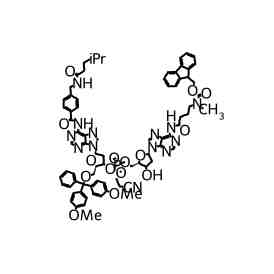 COc1ccc(C(OC[C@H]2O[C@@H](n3cnc4c(NC(=O)c5ccc(CNC(=O)CCC(C)C)cc5)ncnc43)CC2OP(=O)(OCCC#N)OC[C@H]2OC(n3cnc4c(NC(=O)CCCN(C)C(=O)OCC5c6ccccc6-c6ccccc65)ncnc43)CC2O)(c2ccccc2)c2ccc(OC)cc2)cc1